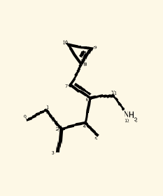 CCC(C)C(C)/C(=C/C1=CC1)CN